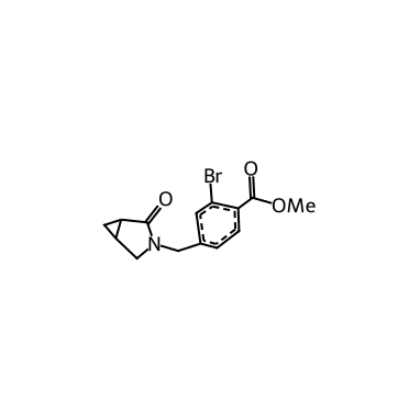 COC(=O)c1ccc(CN2CC3CC3C2=O)cc1Br